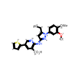 CCOc1cc(-n2nc(Nc3ncc(-c4cccs4)cc3C(=O)O)cc2CC(C)C)ccc1OC